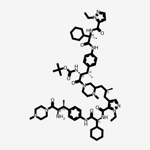 CCn1nccc1C(=O)N[C@@](C)(C(=O)Nc1ccc([C@H](C)[C@@H](NC(=O)OC(C)(C)C)C(=O)N2CCN(C)C(C[C@@H](C)Cc3cnn(CC)c3C(=O)N[C@H](C(=O)Nc3ccc([C@H](C)[C@@H](N)C(=O)N4CCN(C)CC4)cc3)C3CCCCC3)C2)cc1)C1CCCCC1